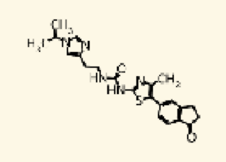 Cc1nc(NC(=O)NCCc2cn(C(C)C)cn2)sc1-c1ccc2c(c1)CCC2=O